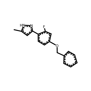 Cc1cc(-c2ccc(OCc3ccccc3)cc2F)n[nH]1